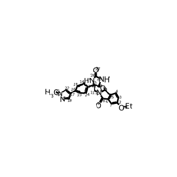 CCOc1ccc2c(c1)C(=O)N(C[C@@]1(c3ccc(-c4cnn(C)c4)cc3)NC(=O)NC1=O)C2